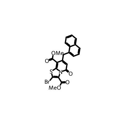 COC(=O)c1c(Cc2cccc3ccccc23)cc(=O)n2c(C(=O)OC)c(Br)sc12